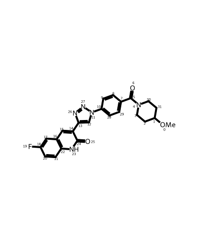 COC1CCN(C(=O)c2ccc(-n3cc(-c4cc5cc(F)ccc5[nH]c4=O)nn3)cc2)CC1